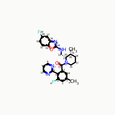 Cc1cc(F)c(-c2ncccn2)c(C(=O)N2CCC[C@@H](C)[C@H]2CNc2nc3cc(F)ccc3o2)c1